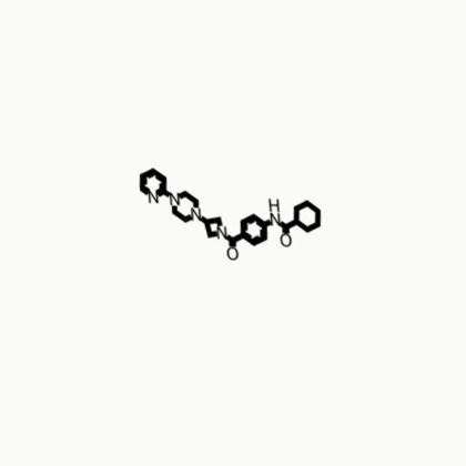 O=C(Nc1ccc(C(=O)N2CC(N3CCN(c4ccccn4)CC3)C2)cc1)C1CCCCC1